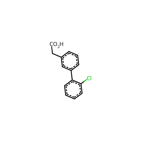 O=C(O)Cc1cccc(-c2ccccc2Cl)c1